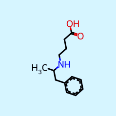 CC(Cc1ccccc1)NCCCC(=O)O